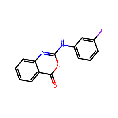 O=c1oc(Nc2cccc(I)c2)nc2ccccc12